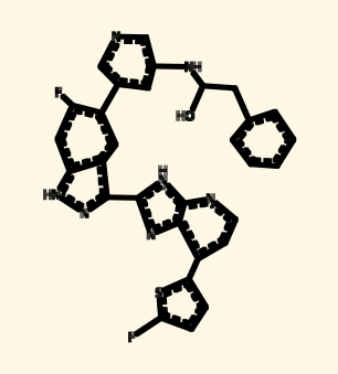 OC(Cc1ccccc1)Nc1cncc(-c2cc3c(-c4nc5c(-c6ccc(F)s6)ccnc5[nH]4)n[nH]c3cc2F)c1